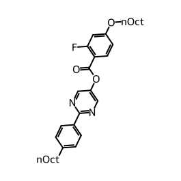 CCCCCCCCOc1ccc(C(=O)Oc2cnc(-c3ccc(CCCCCCCC)cc3)nc2)c(F)c1